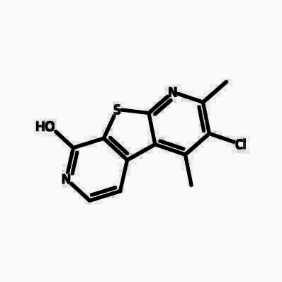 Cc1nc2sc3c(O)nccc3c2c(C)c1Cl